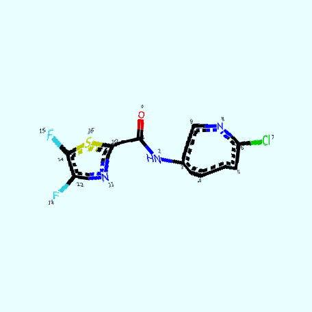 O=C(Nc1ccc(Cl)nc1)c1nc(F)c(F)s1